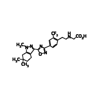 Cn1nc(-c2nc(-c3ccc(CCNCC(=O)O)c(C(F)(F)F)c3)no2)c2c1CC(C)(C)CC2